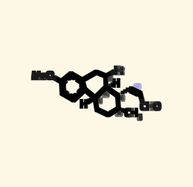 CC[C@@H]1Cc2cc(OC)ccc2[C@H]2CC[C@@H](C)[C@@H](/C=C\C=O)[C@H]12